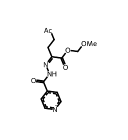 COCOC(=O)/C(CCC(C)=O)=N\NC(=O)c1ccncc1